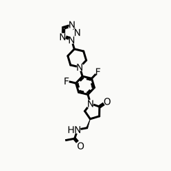 CC(=O)NC[C@@H]1CC(=O)N(c2cc(F)c(N3CCC(n4ncnn4)CC3)c(F)c2)C1